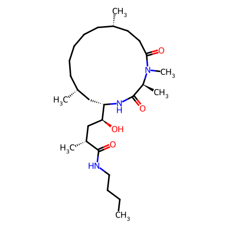 CCCCNC(=O)[C@H](C)C[C@H](O)[C@@H]1C[C@H](C)CCCCC[C@H](C)CCC(=O)N(C)[C@@H](C)C(=O)N1